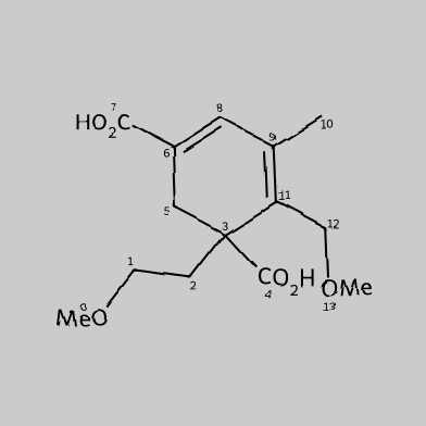 COCCC1(C(=O)O)CC(C(=O)O)=CC(C)=C1COC